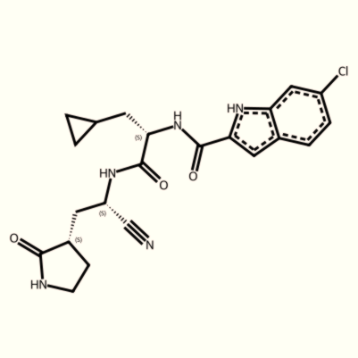 N#C[C@H](C[C@@H]1CCNC1=O)NC(=O)[C@H](CC1CC1)NC(=O)c1cc2ccc(Cl)cc2[nH]1